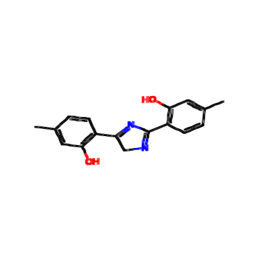 Cc1ccc(C2=NC(c3ccc(C)cc3O)=NC2)c(O)c1